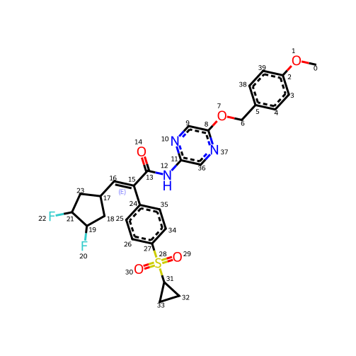 COc1ccc(COc2cnc(NC(=O)/C(=C/C3CC(F)C(F)C3)c3ccc(S(=O)(=O)C4CC4)cc3)cn2)cc1